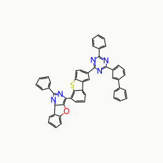 c1ccc(-c2cccc(-c3nc(-c4ccccc4)nc(-c4ccc5sc6c(-c7nc(-c8ccccc8)nc8c7oc7ccccc78)cccc6c5c4)n3)c2)cc1